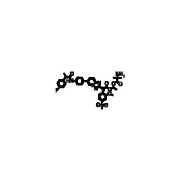 COc1cc(S(C)(=O)=O)ccc1N(C(=O)OC(C)OC(=O)C(C)(C)N)c1nc2ccc(-c3ccc(NC(=O)[C@H](C)c4ccc(F)cc4)cc3)cn2n1